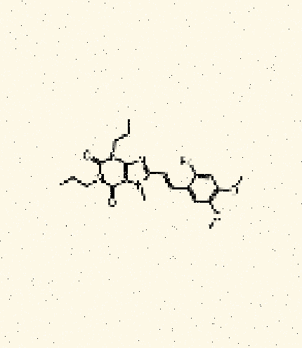 CCCn1c(=O)c2c(nc(C=Cc3cc(OC)c(OC)cc3Br)n2C)n(CCC)c1=O